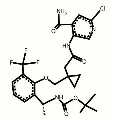 C[C@@H](NC(=O)OC(C)(C)C)c1cccc(C(F)(F)F)c1OCC1(CC(=O)Nc2cnc(Cl)cc2C(N)=O)CC1